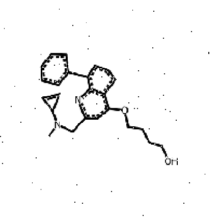 CN(Cc1cc(OCCCCO)c2cccc(-c3ccccc3)c2n1)C1C=C1